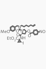 C=CCCCCCN(Cc1ccc(OC)cc1)C(=O)N1C[C@H](OC(=O)c2ccc(N=O)cc2)C[C@H]1C(=O)N[C@]1(C(=O)OCC)C[C@H]1I